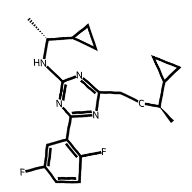 C[C@@H](CCc1nc(N[C@H](C)C2CC2)nc(-c2cc(F)ccc2F)n1)C1CC1